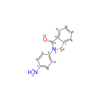 Nc1ccc(-n2sc3ccccc3c2=O)cc1